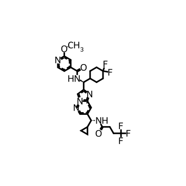 COc1cc(C(=O)N[C@H](c2cn3ncc([C@H](NC(=O)CCC(F)(F)F)C4CC4)cc3n2)C2CCC(F)(F)CC2)ccn1